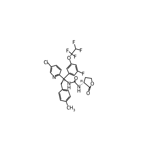 Cc1ccc(C[C@](NC(=O)N[C@@H]2CCOC2=O)(c2cc(F)cc(OC(F)(F)C(F)F)c2)c2ccc(Cl)cn2)cc1